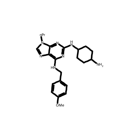 CCCn1cnc2c(NCc3ccc(OC)cc3)nc(NC3CCC(N)CC3)nc21